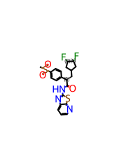 CS(=O)(=O)c1ccc([C@@H](CC2C[C@@H](F)[C@@H](F)C2)C(=O)Nc2nc3cccnc3s2)cc1